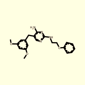 COc1cc(Cc2cnc(NCCOc3ccccc3)nc2N)cc(OC)c1